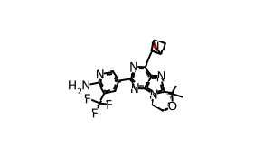 CC1(C)OCCn2c1nc1c(N3CC4CC3C4)nc(-c3cnc(N)c(C(F)(F)F)c3)nc12